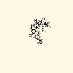 C[C@@H](n1ncc(Nc2ncc3cc(Cl)c([C@H]4CCN(C5COC5)C[C@H]4F)cc3n2)c1Cl)C(C)(C)O